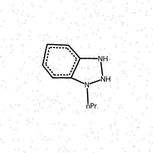 CCCN1NNc2ccccc21